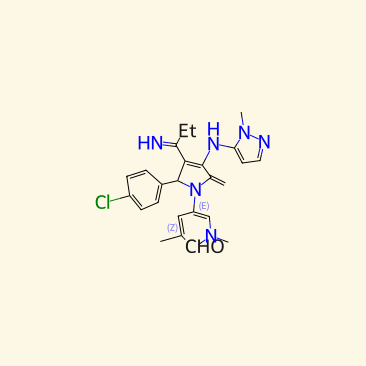 C=C1C(Nc2ccnn2C)=C(C(=N)CC)C(c2ccc(Cl)cc2)N1C(/C=C(/C)C=O)=C/N(C)C